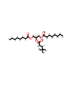 CCCCCCCC(=O)OCC(COC(=O)CCCCCCC)OC(=O)CCC(C)(C)C